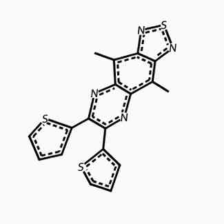 Cc1c2nsnc2c(C)c2nc(-c3cccs3)c(-c3cccs3)nc12